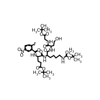 CC(C)(C)OC(=O)CCC(NC(=O)c1cc([N+](=O)[O-])ccc1F)C(=O)NC(CCCCNC(=O)OC(C)(C)C)C(=O)NC(CCO)C(=O)NCC(=O)OC(C)(C)C